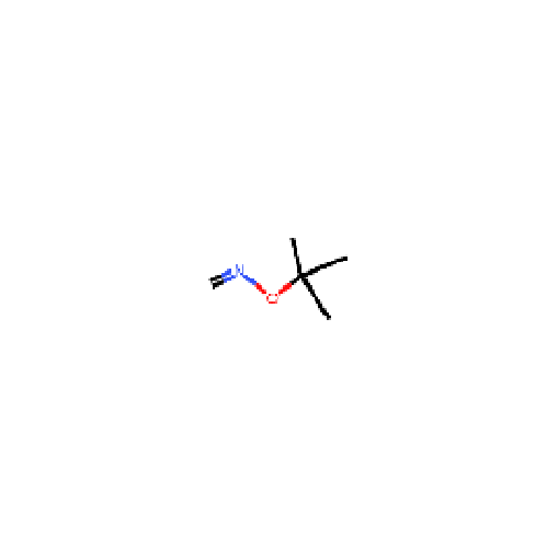 C=NOC(C)(C)C